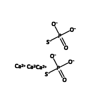 O=P([O-])([O-])[S-].O=P([O-])([O-])[S-].[Ca+2].[Ca+2].[Ca+2]